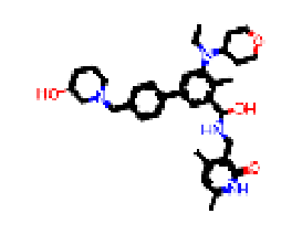 CCN(c1cc(-c2ccc(CN3CCC[C@H](O)C3)cc2)cc(C(O)NCc2c(C)cc(C)[nH]c2=O)c1C)C1CCOCC1